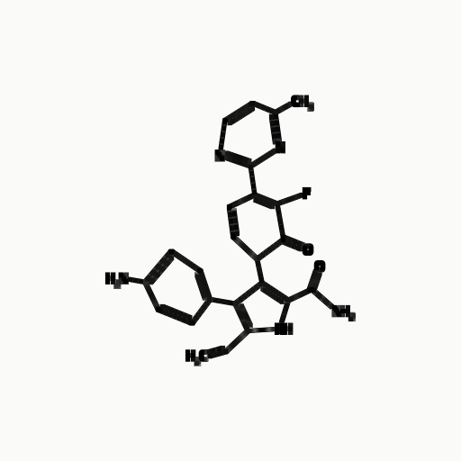 C=Cc1[nH]c(C(N)=O)c(C2C=CC(c3nccc(C)n3)=C(F)C2=O)c1-c1ccc(N)cc1